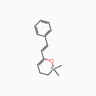 C[Si]1(C)CCC=C(C=Cc2ccccc2)O1